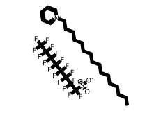 CCCCCCCCCCCCCCCC[n+]1ccccc1.O=S(=O)([O-])C(F)(F)C(F)(F)C(F)(F)C(F)(F)C(F)(F)C(F)(F)C(F)(F)C(F)(F)F